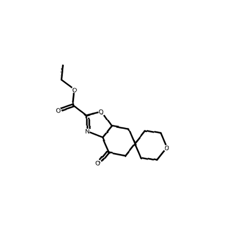 CCOC(=O)C1=NC2C(=O)CC3(CCOCC3)CC2O1